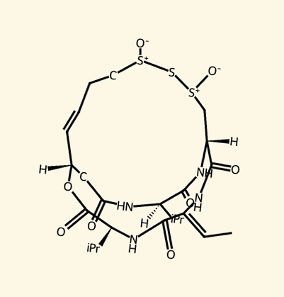 C/C=C1\NC(=O)[C@H]2C[S+]([O-])S[S+]([O-])CC/C=C/[C@H](CC(=O)N[C@H](C(C)C)C(=O)N2)OC(=O)[C@H](C(C)C)NC1=O